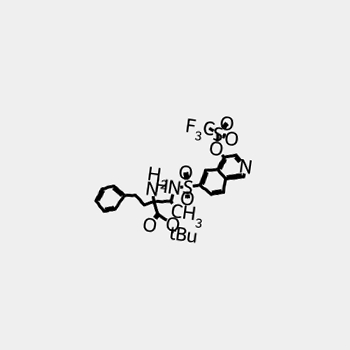 CC(NS(=O)(=O)c1ccc2cncc(OS(=O)(=O)C(F)(F)F)c2c1)C(N)(CCc1ccccc1)C(=O)OC(C)(C)C